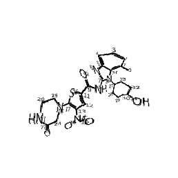 Cc1cccc2nc(NC(=O)c3cc([N+](=O)[O-])c(N4CCNC(=O)C4)s3)n(C3CCC(O)CC3)c12